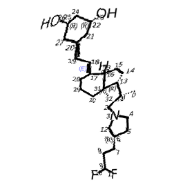 C[C@H](CN1CC[C@@H](CCC(F)F)C1)[C@H]1CC[C@H]2/C(=C/C=C3C[C@@H](O)C[C@H](O)C3)CCC[C@]12C